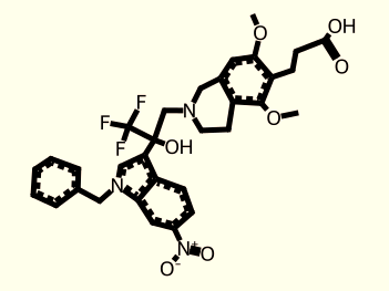 COc1cc2c(c(OC)c1CCC(=O)O)CCN(CC(O)(c1cn(Cc3ccccc3)c3cc([N+](=O)[O-])ccc13)C(F)(F)F)C2